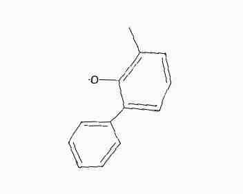 Cc1cccc(-c2ccccc2)c1[O]